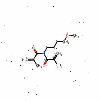 C=C(C)C(=O)N(CCC[SiH2]OC)C(=O)C(=C)C